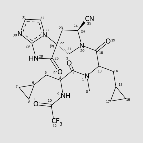 CN(C(=O)C(CC1CC1)NC(=O)C(F)(F)F)C(CC1CC1)C(=O)N1C[C@]2(C[C@H]1C#N)C(=O)Nc1nccn12